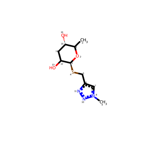 CC1O[C@@H](SCc2cn(C)nn2)C(O)C[C@@H]1O